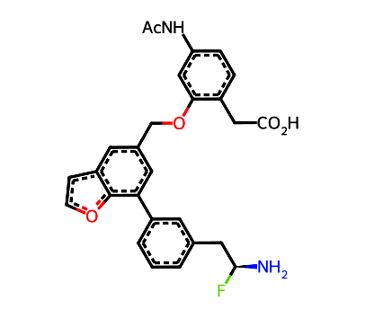 CC(=O)Nc1ccc(CC(=O)O)c(OCc2cc(-c3cccc(C[C@@H](N)F)c3)c3occc3c2)c1